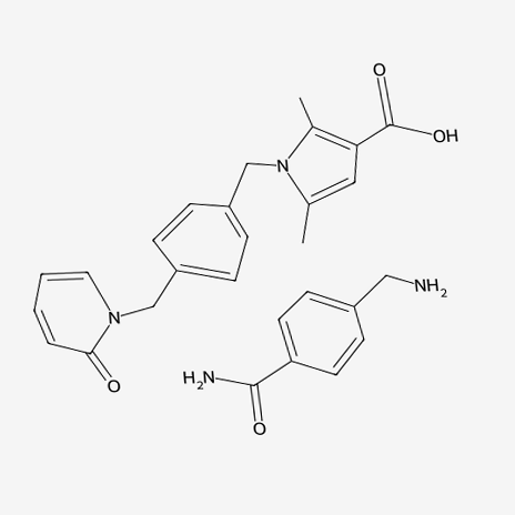 Cc1cc(C(=O)O)c(C)n1Cc1ccc(Cn2ccccc2=O)cc1.NCc1ccc(C(N)=O)cc1